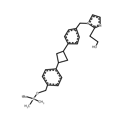 CC(C)(C)[Si](C)(C)OCc1ccc(C2CC(c3ccc(Cn4ccnc4CCO)cc3)C2)cc1